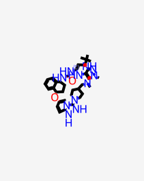 CN(C)CC1CCN(C(=N)n2cc(OC3CCC(NC(=O)N/C(=C/C(=N)C(C)(C)C)Nc4cnn(C)c4)c4ccccc43)ccc2=N)CC1